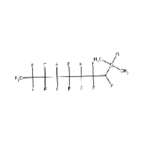 C[Si](C)(Cl)C(F)C(F)(F)C(F)(F)C(F)(F)C(F)(F)C(F)(F)C(F)(F)C(F)(F)F